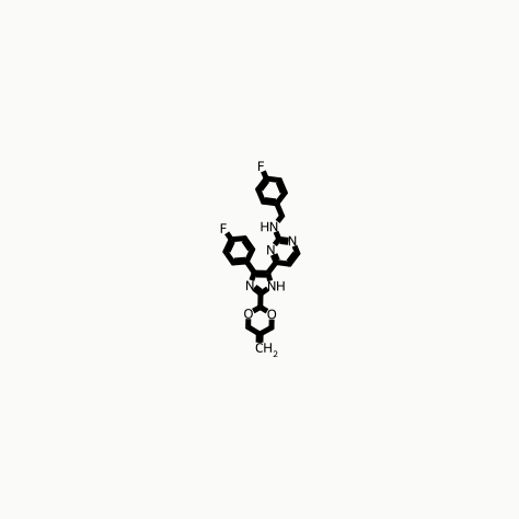 C=C1COC(c2nc(-c3ccc(F)cc3)c(-c3ccnc(NCc4ccc(F)cc4)n3)[nH]2)OC1